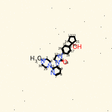 CN1CCN(c2ncccc2N2CCN(c3ccc(C4(O)CCCC4)cc3)C2=O)CC1